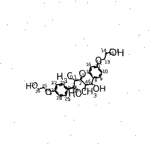 CC(C(=O)C(C)C(O)c1ccc(OCCO)cc1)C(O)c1ccc(OCCO)cc1